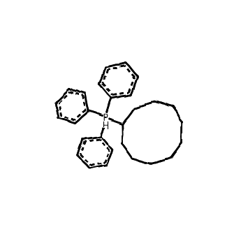 c1ccc([PH](c2ccccc2)(c2ccccc2)C2CCCCCCCCC2)cc1